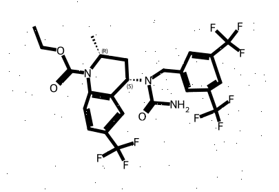 CCOC(=O)N1c2ccc(C(F)(F)F)cc2[C@@H](N(Cc2cc(C(F)(F)F)cc(C(F)(F)F)c2)C(N)=O)C[C@H]1C